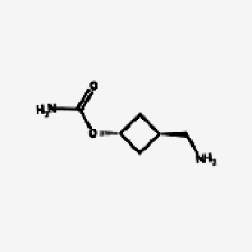 NC[C@H]1C[C@H](OC(N)=O)C1